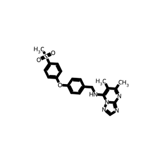 Cc1nc2ncnn2c(NCc2ccc(Oc3ccc(S(C)(=O)=O)cc3)cc2)c1C